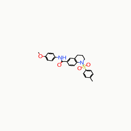 COc1ccc(NC(=O)c2ccc3c(c2)CCCN3S(=O)(=O)c2ccc(C)cc2)cc1